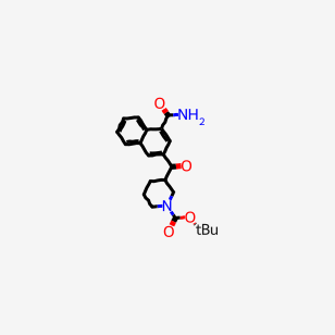 CC(C)(C)OC(=O)N1CCCC(C(=O)c2cc(C(N)=O)c3ccccc3c2)C1